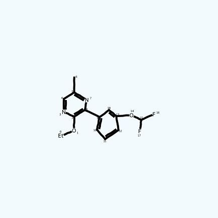 CCOc1ncc(C)nc1-c1cccc(OC(F)F)c1